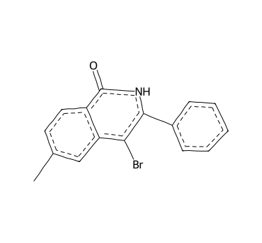 Cc1ccc2c(=O)[nH]c(-c3ccccc3)c(Br)c2c1